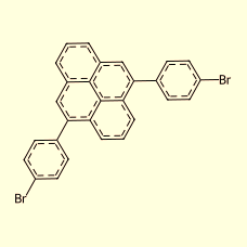 Brc1ccc(-c2cc3cccc4cc(-c5ccc(Br)cc5)c5cccc2c5c34)cc1